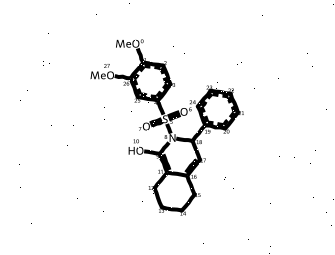 COc1ccc(S(=O)(=O)N2C(O)=C3CCCCC3=CC2c2ccccc2)cc1OC